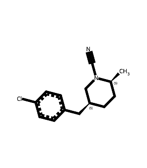 C[C@H]1CC[C@@H](Cc2ccc(Cl)cc2)CN1C#N